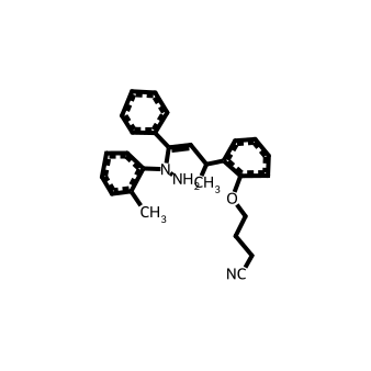 Cc1ccccc1N(N)/C(=C\C(C)c1ccccc1OCCCC#N)c1ccccc1